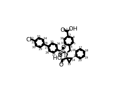 O=C(O)c1ccc(CN([C@]2(C(=O)O)C[C@H]2c2ccccc2)S(=O)(=O)c2ccc(-c3ccc(Cl)cc3)cc2)cc1